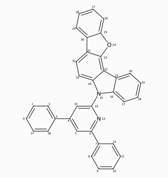 c1ccc(-c2cc(-c3ccccc3)nc(-n3c4ccccc4c4c5oc6ccccc6c5ccc43)c2)cc1